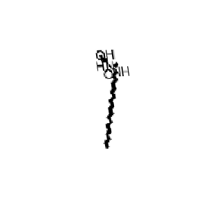 CCCCCCCCCCCCCCCCCC(=O)NC(C)NCCO